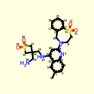 Cc1ccc2nc(N3CCS(=O)(=O)c4ccccc4C3)cc(NCC3(CN)CS(=O)(=O)C3)c2c1